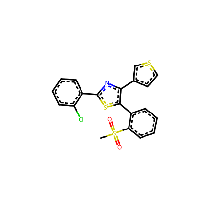 CS(=O)(=O)c1ccccc1-c1sc(-c2ccccc2Cl)nc1-c1ccsc1